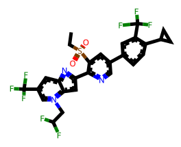 CCS(=O)(=O)c1cc(-c2ccc(C3CC3)c(C(F)(F)F)c2)cnc1-c1cc2n(CC(F)F)cc(C(F)(F)F)cc-2n1